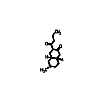 CCCC(=O)C1C[C@@H]2CN(C)CC[C@H]2CC1=O